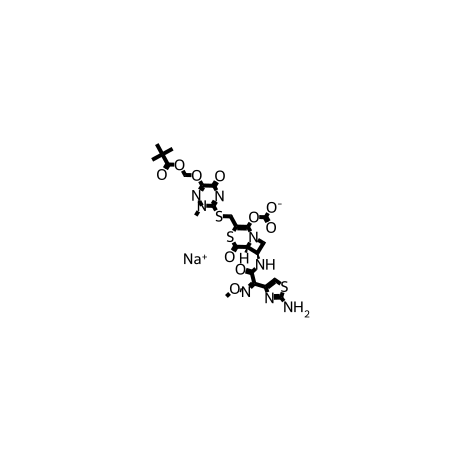 CO/N=C(\C(=O)N[C@@H]1CN2C(OC(=O)[O-])=C(CSc3nc(=O)c(OCOC(=O)C(C)(C)C)nn3C)SC(=O)[C@@H]12)c1csc(N)n1.[Na+]